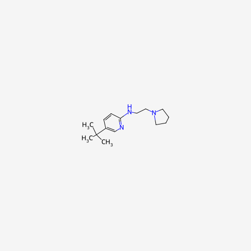 CC(C)(C)c1ccc(NCCN2CCCC2)nc1